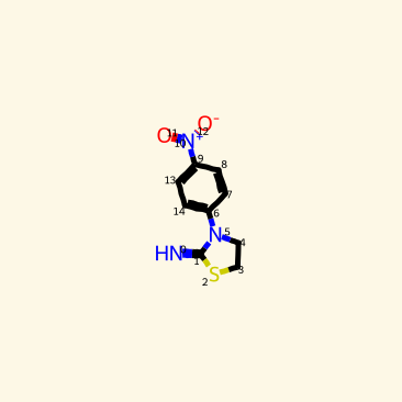 N=C1SCCN1c1ccc([N+](=O)[O-])cc1